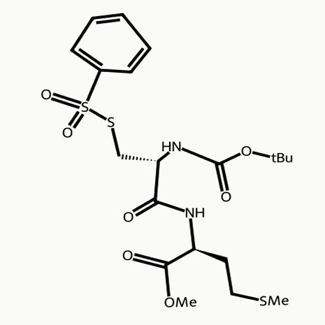 COC(=O)[C@H](CCSC)NC(=O)[C@H](CSS(=O)(=O)c1ccccc1)NC(=O)OC(C)(C)C